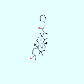 C[C@@]1(O)CC[C@H]2[C@H](CC[C@@H]3[C@@H]2CC[C@]2(C)[C@@H](C(=O)CN4CCCC4)CC[C@@H]32)C1